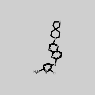 Nc1ccc(Sc2ccc3nc(N4CCC5(CCOC5)CC4)cnc3n2)c(Cl)n1